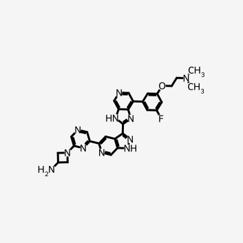 CN(C)CCOc1cc(F)cc(-c2cncc3[nH]c(-c4n[nH]c5cnc(-c6cncc(N7CC(N)C7)n6)cc45)nc23)c1